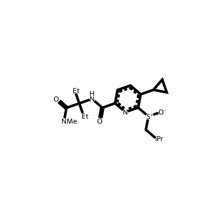 CCC(CC)(NC(=O)c1ccc(C2CC2)c([S+]([O-])CC(C)C)n1)C(=O)NC